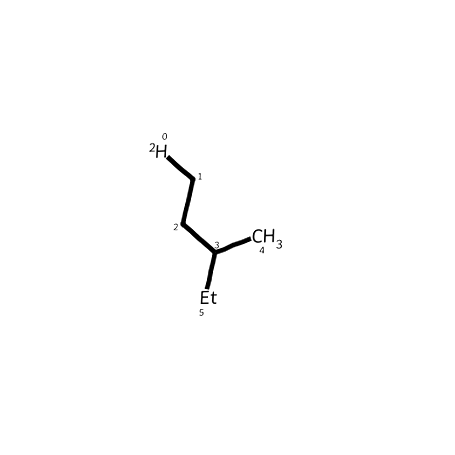 [2H]CCC(C)CC